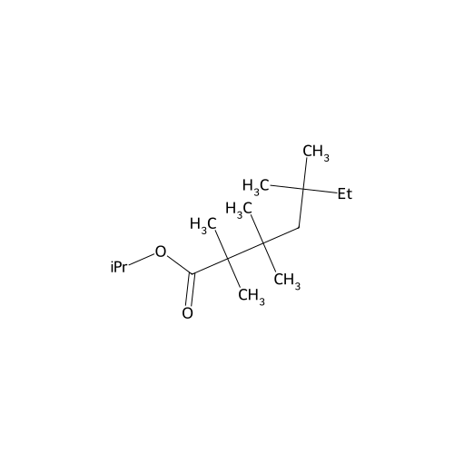 CCC(C)(C)CC(C)(C)C(C)(C)C(=O)OC(C)C